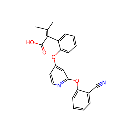 CC(C)=C(C(=O)O)c1ccccc1Oc1ccnc(Oc2ccccc2C#N)c1